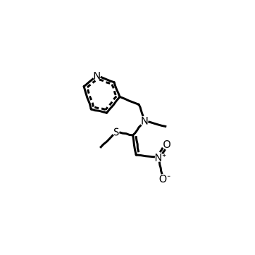 CS/C(=C/[N+](=O)[O-])N(C)Cc1cccnc1